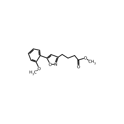 COC(=O)CCCc1cc(-c2ccccc2OC)on1